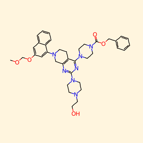 COCOc1cc(N2CCc3c(nc(N4CCN(CCO)CC4)nc3N3CCN(C(=O)OCc4ccccc4)CC3)C2)c2ccccc2c1